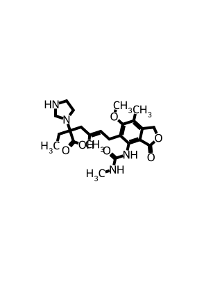 CCC(C/C(C)=C/Cc1c(NC(=O)NC)c2c(c(C)c1OC)COC2=O)(C(=O)O)N1CCNC1